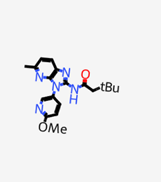 COc1ccc(-n2c(NC(=O)CC(C)(C)C)nc3ccc(C)nc32)cn1